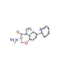 CN1C(=O)[C@@H](N)COc2ccc(-c3ccccn3)cc21